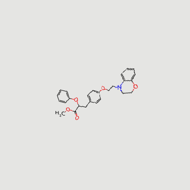 COC(=O)C(Cc1ccc(OCCN2CCOc3ccccc32)cc1)Oc1ccccc1